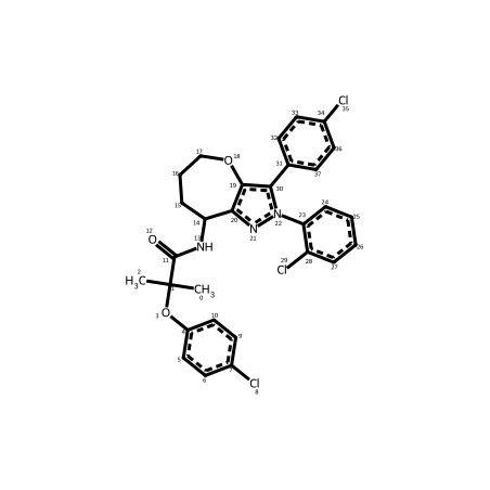 CC(C)(Oc1ccc(Cl)cc1)C(=O)NC1CCCOc2c1nn(-c1ccccc1Cl)c2-c1ccc(Cl)cc1